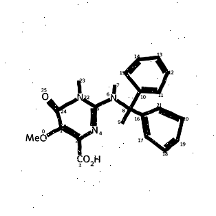 COc1c(C(=O)O)nc(N(C)C(C)(c2ccccc2)c2ccccc2)n(C)c1=O